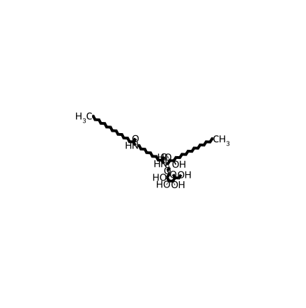 CCCCCCCCCCCCCCCC(=O)NCCCCCCCCC(=O)N[C@@H](CO[C@H]1OC(CO)[C@H](O)[C@H](O)C1O)[C@H](O)[C@H](O)CCCCCCCCCCCCCC